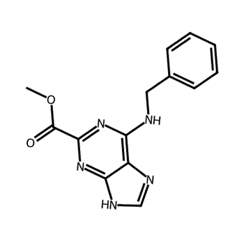 COC(=O)c1nc(NCc2ccccc2)c2nc[nH]c2n1